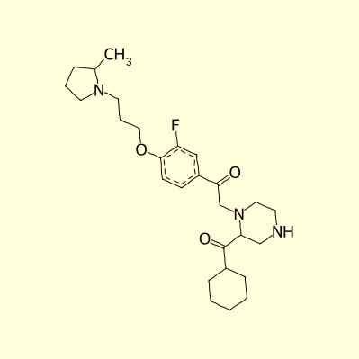 CC1CCCN1CCCOc1ccc(C(=O)CN2CCNCC2C(=O)C2CCCCC2)cc1F